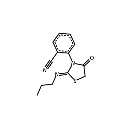 CCC/N=C1\SCC(=O)N1c1ccccc1C#N